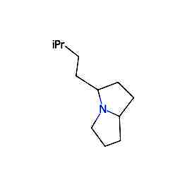 CC(C)CCC1CCC2CCCN21